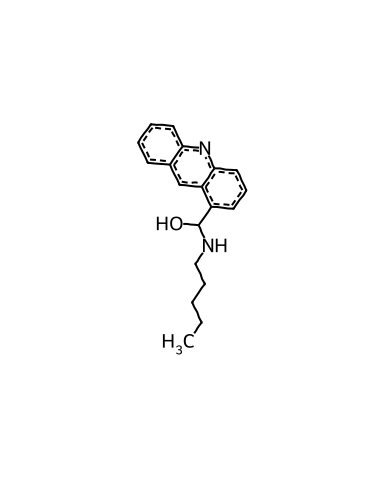 CCCCCNC(O)c1cccc2nc3ccccc3cc12